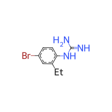 CCc1cc(Br)ccc1NC(=N)N